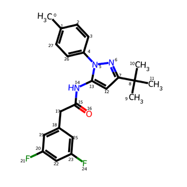 Cc1ccc(-n2nc(C(C)(C)C)cc2NC(=O)Cc2cc(F)cc(F)c2)cc1